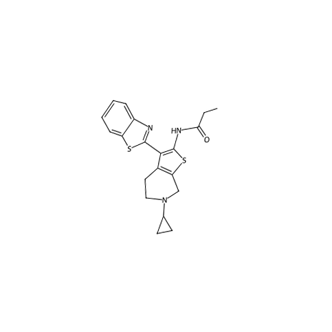 CCC(=O)Nc1sc2c(c1-c1nc3ccccc3s1)CCN(C1CC1)C2